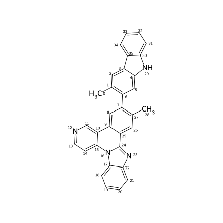 Cc1cc2c(cc1-c1cc3c4cnccc4n4c5ccccc5nc4c3cc1C)[nH]c1ccccc12